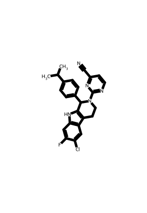 CC(C)c1ccc(C2c3[nH]c4cc(F)c(Cl)cc4c3CCN2c2nccc(C#N)n2)cc1